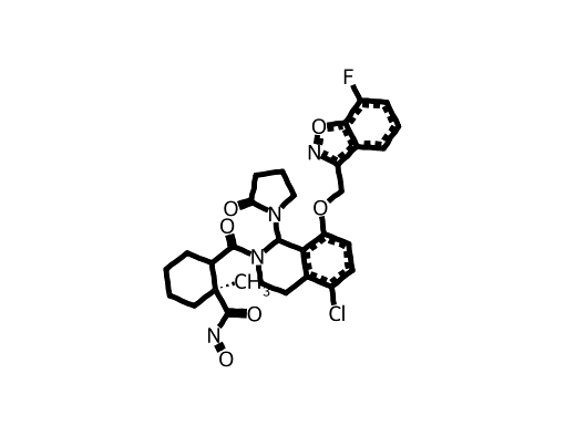 C[C@]1(C(=O)N=O)CCCCC1C(=O)N1CCc2c(Cl)ccc(OCc3noc4c(F)cccc34)c2C1N1CCCC1=O